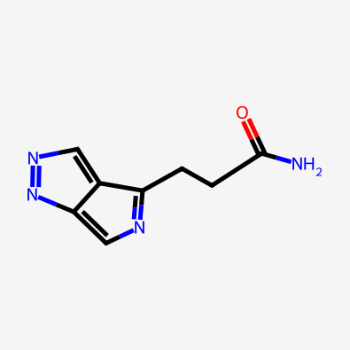 NC(=O)CCC1=NC=C2N=NC=C21